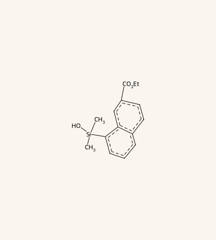 CCOC(=O)c1ccc2cccc([Si](C)(C)O)c2c1